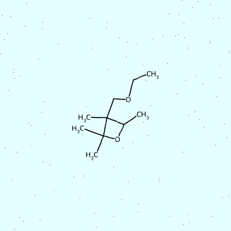 CCOCC1(C)C(C)OC1(C)C